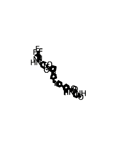 O=C1CCC(NC(=O)c2ccc(C3CCN(CC4CCN(c5cccc(S(=O)(=O)N6CCC(Nc7ncc(C(F)(F)F)cn7)CC6)c5)CC4)CC3)cc2F)C(=O)N1